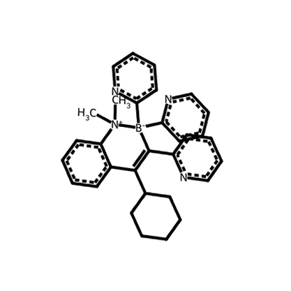 C[N+]1(C)c2ccccc2C(C2CCCCC2)=C(c2ccccn2)[B-]1(c1ccccn1)c1ccccn1